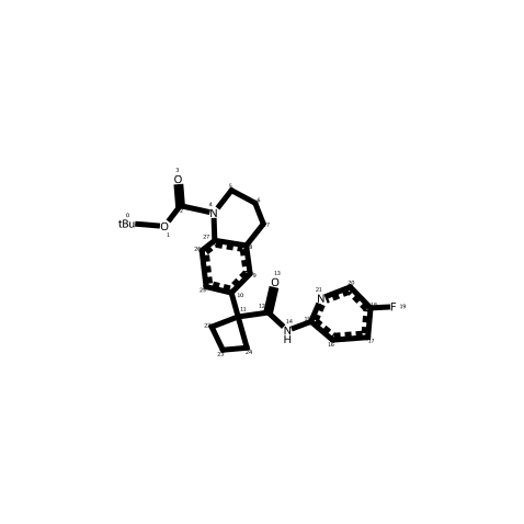 CC(C)(C)OC(=O)N1CCCc2cc(C3(C(=O)Nc4ccc(F)cn4)CCC3)ccc21